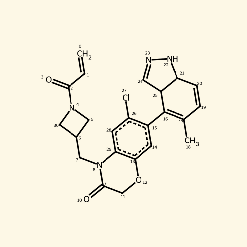 C=CC(=O)N1CC(CN2C(=O)COc3cc(C4=C(C)C=CC5NN=CC45)c(Cl)cc32)C1